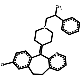 CC(CN1CCC(=C2c3ccc(Cl)cc3CCc3cccnc32)CC1)c1ccccc1